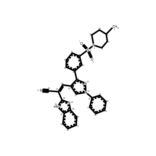 CC1CCN(S(=O)(=O)c2cccc(-c3nn(-c4ccccc4)cc3/C=C(/C#N)c3nc4ccccc4[nH]3)c2)CC1